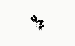 [2H]c1cc(-c2ccccc2-c2cccc(-n3c4ccccc4c4ccc(-c5cccc(N(c6cccc(-c7ccccc7)c6)c6cccc(-c7ccccc7)c6)c5)cc43)c2)c([2H])c([2H])c1[2H]